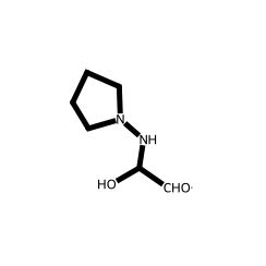 O=[C]C(O)NN1CCCC1